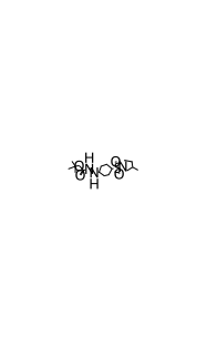 CC1CCN(S(=O)(=O)[C@H]2CC[C@H](NNC(=O)OC(C)(C)C)CC2)C1